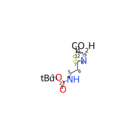 CC(C)(C)OC(=O)NCCc1ncc(C(=O)O)s1